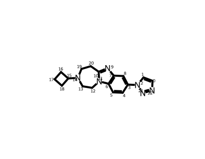 c1cn(-c2ccc3c(c2)nc2n3CCN(C3CCC3)CC2)nn1